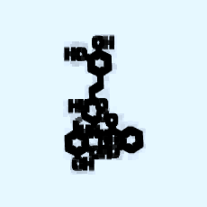 O=C(C=Cc1ccc(O)c(O)c1)N[C@@H](Cc1ccc(O)c(O)c1)C(=O)NNC(=O)c1ccccc1O